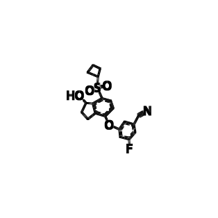 N#Cc1cc(F)cc(Oc2ccc(S(=O)(=O)C3CCC3)c3c2CCC3O)c1